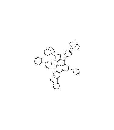 c1ccc(-c2ccc(N3B4c5c(cc(-c6ccccc6)cc5-n5c6ccc(C78CCCC(CCC7)C8)cc6c6cc(C78CCCC(CCC7)C8)cc4c65)-c4cc5c(cc43)oc3ccccc35)cc2)cc1